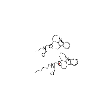 CCCCCCN(C=O)CCC12CCCn3c1c(c1ccccc13)CCO2.CCCN(C=O)CCC12CCCn3c1c(c1ccccc13)CCO2